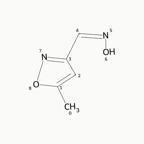 Cc1cc(/C=N\O)no1